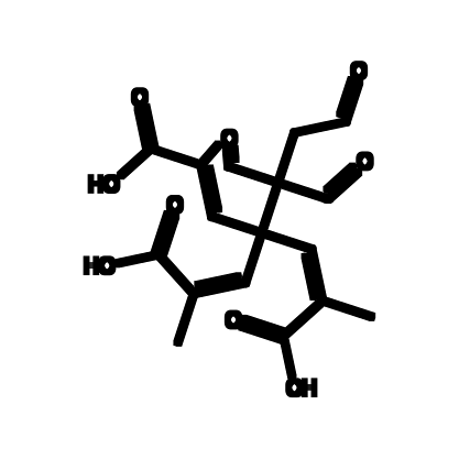 CC(=CC(C=C(C)C(=O)O)(C=C(C)C(=O)O)C(C=O)(C=O)CC=O)C(=O)O